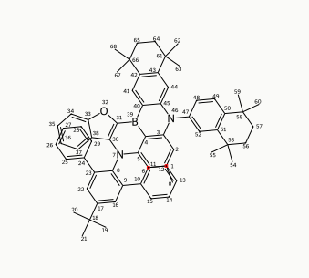 Cc1cc2c3c(c1)N(c1c(-c4ccccc4)cc(C(C)(C)C)cc1-c1ccccc1)c1c(oc4ccccc14)B3c1cc3c(cc1N2c1ccc2c(c1)C(C)(C)CCC2(C)C)C(C)(C)CCC3(C)C